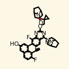 C#Cc1c(F)ccc2cc(O)cc(-c3c(F)cc4c(N5CC6CCC(C5)N6)nc(OCC5(CN6C7CCC6CC(=O)C7)CC5)nc4c3F)c12